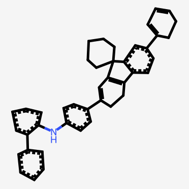 C1=CCCC(c2ccc3c(c2)C2(CCCCC2)C2=C3CCC(c3ccc(Nc4ccccc4-c4ccccc4)cc3)=C2)=C1